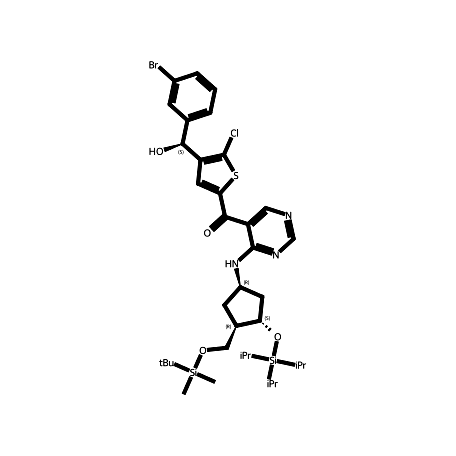 CC(C)[Si](O[C@H]1C[C@H](Nc2ncncc2C(=O)c2cc([C@@H](O)c3cccc(Br)c3)c(Cl)s2)C[C@@H]1CO[Si](C)(C)C(C)(C)C)(C(C)C)C(C)C